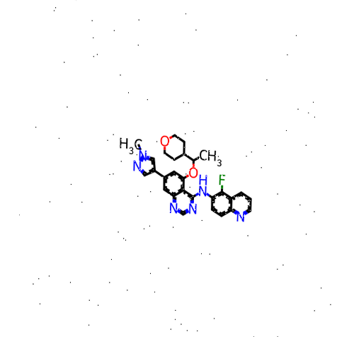 CC(Oc1cc(-c2cnn(C)c2)cc2ncnc(Nc3ccc4ncccc4c3F)c12)C1CCOCC1